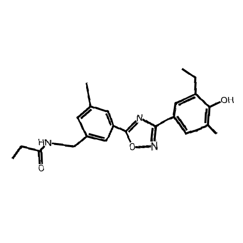 CCC(=O)NCc1cc(C)cc(-c2nc(-c3cc(C)c(O)c(CC)c3)no2)c1